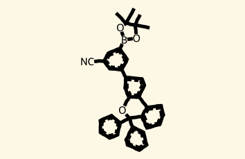 CC1(C)OB(c2cc(C#N)cc(-c3ccc4c(c3)OC(c3ccccc3)(c3ccccc3)c3ccccc3-4)c2)OC1(C)C